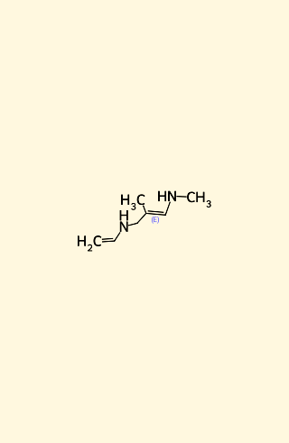 C=CNC/C(C)=C/NC